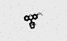 Cc1ccc2c(c1)Oc1ccccc1C2=C1CC2CCC(C1)N2C